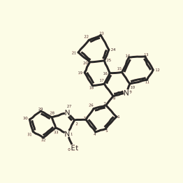 CCn1c(-c2cccc(-c3nc4ccccc4c4c3ccc3ccccc34)c2)nc2ccccc21